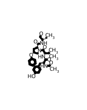 CC[C@@H](C=O)NC(=O)[C@@H]1C[C@@H](Oc2ccccc2)CN1C(=O)[C@@H](NC(=O)[C@H](Cc1ccc(O)cc1)NC(C)=O)C(C)C